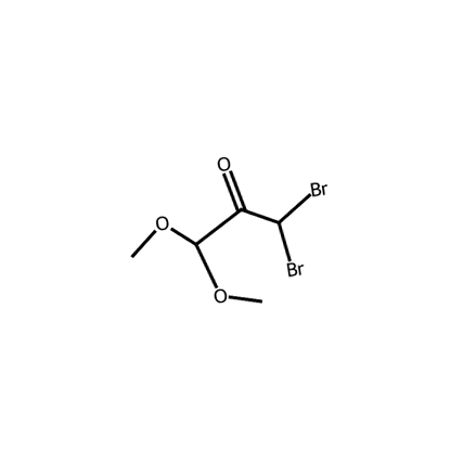 COC(OC)C(=O)C(Br)Br